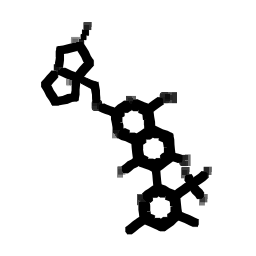 Cc1cc(C)c(C(F)(F)F)c(-c2c(Cl)cc3c(O)nc(OC[C@@]45CCCN4C[C@H](F)C5)nc3c2F)n1